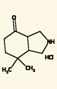 CC1(C)CCC(=O)C2CNCC21.Cl